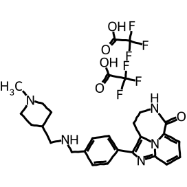 CN1CCC(CNCc2ccc(-c3nc4cccc5n4c3CCNC5=O)cc2)CC1.O=C(O)C(F)(F)F.O=C(O)C(F)(F)F